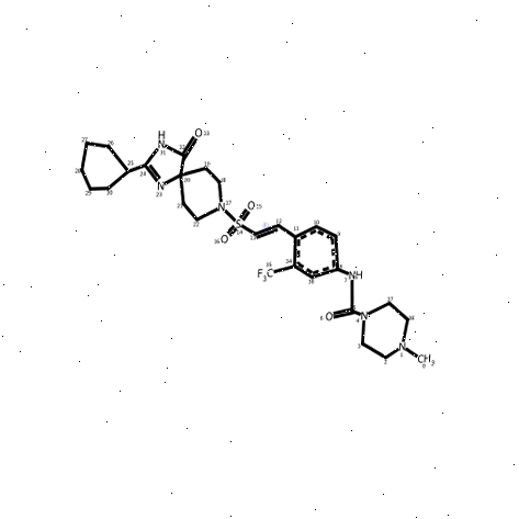 CN1CCN(C(=O)Nc2ccc(/C=C/S(=O)(=O)N3CCC4(CC3)N=C(C3CCCCC3)NC4=O)c(C(F)(F)F)c2)CC1